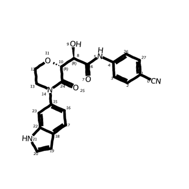 N#Cc1ccc(NC(=O)[C@H](O)[C@H]2OCCN(c3ccc4cc[nH]c4c3)C2=O)cc1